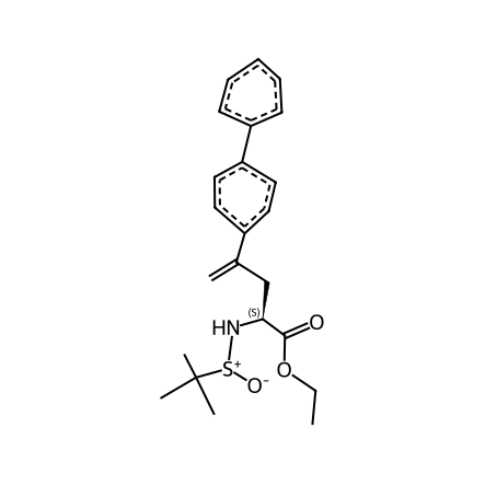 C=C(C[C@H](N[S+]([O-])C(C)(C)C)C(=O)OCC)c1ccc(-c2ccccc2)cc1